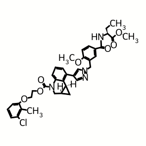 CC[C@H](NC(=O)c1ccc(OC)c(Cn2cc(-c3cccc4c3[C@H]3C[C@H]3CN4C(=O)OCCOc3cccc(Cl)c3C)cn2)c1)C(=O)OC